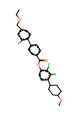 CCOCc1ccc(-c2ccc(C(=O)Oc3ccc(C4CCC(OC)CC4)c(F)c3F)cc2)c(F)c1